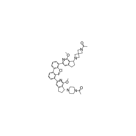 COc1nc(-c2cccc(-c3cccc(-c4cc5c(c(OC)n4)[C@H](N4CCN(C(C)=O)CC4)CC5)c3F)c2Cl)cc2c1C(N1CC3(CN(C(C)=O)C3)C1)CC2